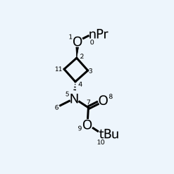 CCCO[C@H]1C[C@H](N(C)C(=O)OC(C)(C)C)C1